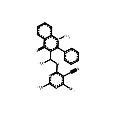 CC(Nc1nc(N)nc(N)c1C#N)c1c(-c2ccccc2)n(C)c2ccccc2c1=O